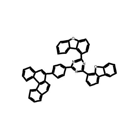 c1ccc2c(c1)ccc1c(-c3ccc(-c4nc(-c5cccc6c5oc5ccccc56)nc(-c5cccc6oc7ccccc7c56)n4)cc3)cc3ccccc3c12